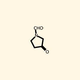 O=[C]N1CCC(=O)C1